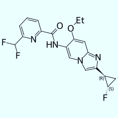 CCOc1cc2nc([C@H]3C[C@@H]3F)cn2cc1NC(=O)c1cccc(C(F)F)n1